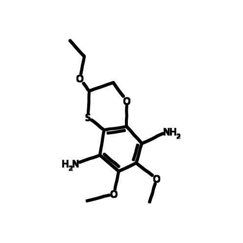 CCOC1COc2c(N)c(OC)c(OC)c(N)c2S1